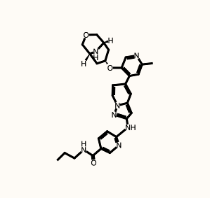 CCCNC(=O)c1ccc(Nc2cc3cc(-c4cc(C)ncc4O[C@H]4C[C@H]5COC[C@@H](C4)N5)ccn3n2)nc1